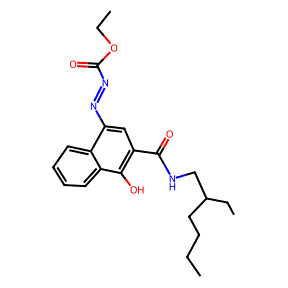 CCCCC(CC)CNC(=O)c1cc(N=NC(=O)OCC)c2ccccc2c1O